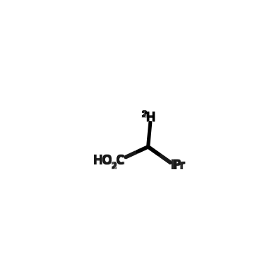 [2H]C(C(=O)O)C(C)C